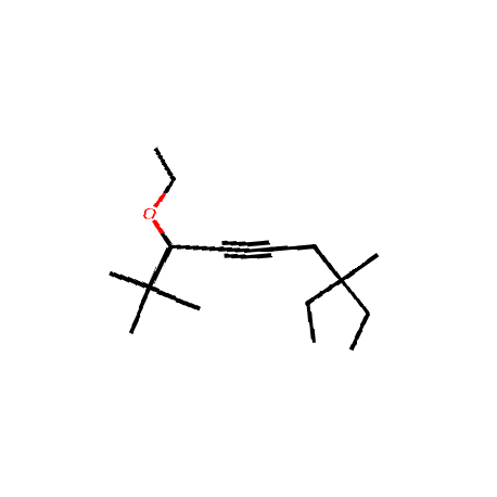 CCOC(C#CCC(C)(CC)CC)C(C)(C)C